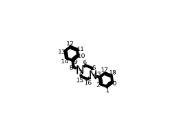 [c]1ccc(N2CCN(Cc3ccccc3)CC2)cc1